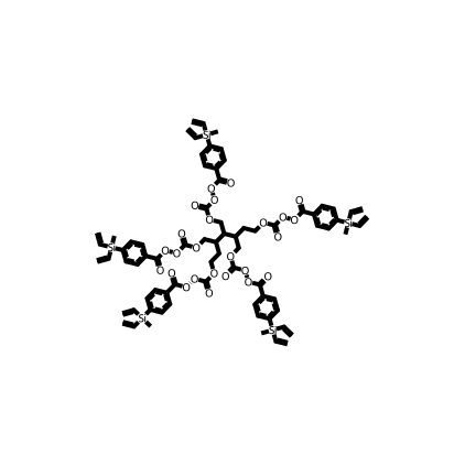 C=C[Si](C)(C=C)c1ccc(C(=O)OOC(=O)OCCC(COC(=O)OOC(=O)c2ccc([Si](C)(C=C)C=C)cc2)C(COC(=O)OOC(=O)c2ccc([Si](C)(C=C)C=C)cc2)C(CCOC(=O)OOC(=O)c2ccc([Si](C)(C=C)C=C)cc2)COC(=O)OOC(=O)c2ccc([Si](C)(C=C)C=C)cc2)cc1